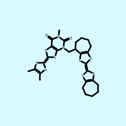 CC1=C(C)SC(=C2Sc3c(n(CC4CCCCC5=C4SC(=C4SC6=C(CCCCC6)S4)S5)c(=O)n(C)c3=O)S2)S1